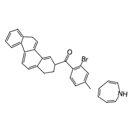 C1=CC=CNC=C1.Cc1ccc(C(=O)C2C=c3c(ccc4c3=CCc3ccccc3-4)CC2)c(Br)c1